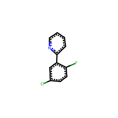 Fc1ccc(Cl)cc1-c1ccccn1